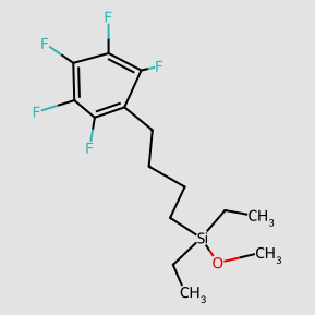 CC[Si](CC)(CCCCc1c(F)c(F)c(F)c(F)c1F)OC